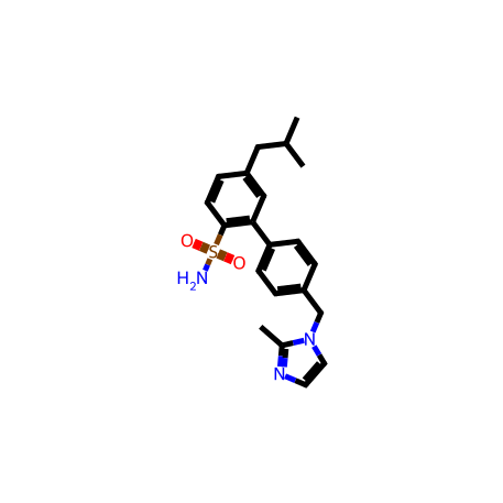 Cc1nccn1Cc1ccc(-c2cc(CC(C)C)ccc2S(N)(=O)=O)cc1